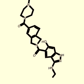 CCNc1n[nH]c2cc(O)c(C(=O)N3Cc4ccc(C(=O)N5CCN(C)CC5)cc4C3)cc12